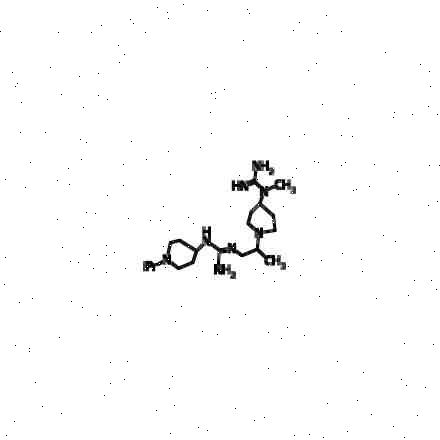 CC(C)N1CCC(N/C(N)=N/CC(C)N2CCC(N(C)C(=N)N)CC2)CC1